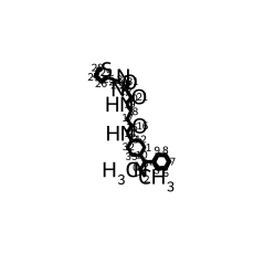 CN(C)C(c1ccccc1)C1CCC(NC(=O)CCNC(=O)c2nc(-c3cccs3)no2)CC1